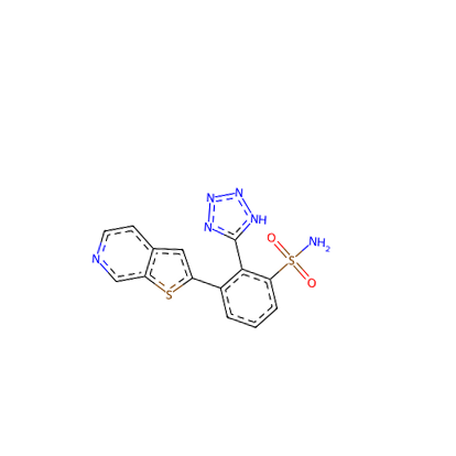 NS(=O)(=O)c1cccc(-c2cc3ccncc3s2)c1-c1nnn[nH]1